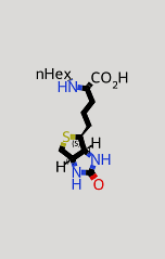 [CH2]CCCCCNC(CCC[C@@H]1SC[C@@H]2NC(=O)N[C@@H]21)C(=O)O